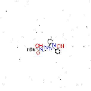 CCCCC(O)C(=O)N1CCN(c2nc(-c3ccccc3O)nc3cc(C)ccc23)CC1